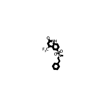 CN(CCc1ccccc1)S(=O)(=O)c1ccc2[nH]c(=O)cc(C(F)(F)F)c2c1